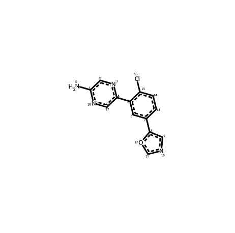 Nc1cnc(-c2cc(-c3cnco3)ccc2Cl)cn1